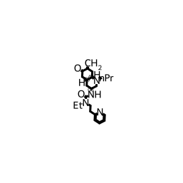 C=C1C[C@@H]2[C@@H](CC1=O)C[C@H](NC(=O)N(CC)CCc1ccccn1)CN2CCC